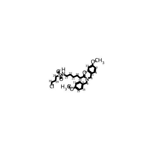 COc1ccc(CN(Cc2ccc(OC)cc2)C(=O)CCCCCNS(=O)(=O)CCCCl)cc1